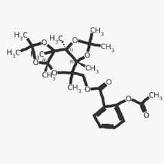 CC(=O)Oc1ccccc1C(=O)OCC1(C)O[C@]2(C)OC(C)(C)OC2(C)[C@@]2(C)OC(C)(C)O[C@]12C